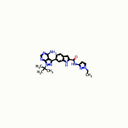 CCn1ccc(NC(=O)c2cc3ccc(-c4nn(C(C)(C)C)c5ncnc(N)c45)cc3[nH]2)n1